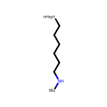 CCCCCCCCCCCCCNC(C)(C)C